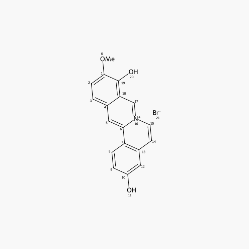 COc1ccc2cc3c4ccc(O)cc4cc[n+]3cc2c1O.[Br-]